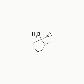 BC1(C2CC2)CCCCC1C